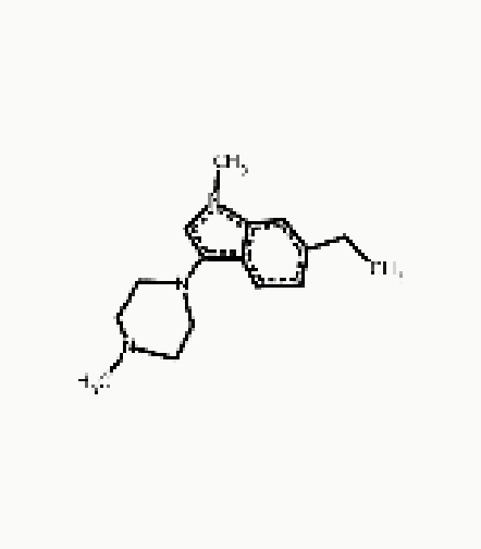 CCc1ccc2c(N3CCN(C)CC3)cn(C)c2c1